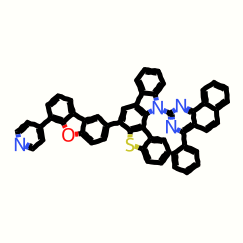 c1ccc(-c2nc(-n3c4ccccc4c4cc(-c5ccc6oc7c(-c8ccncc8)cccc7c6c5)c5sc6ccccc6c5c43)nc3c2ccc2ccccc23)cc1